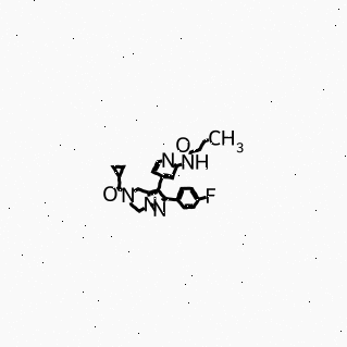 CCCC(=O)Nc1cc(-c2c(-c3ccc(F)cc3)nn3c2CN(C(=O)C2CC2)CC3)ccn1